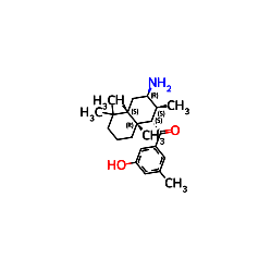 Cc1cc(O)cc(C(=O)[C@H]2[C@H](C)[C@H](N)C[C@H]3C(C)(C)CCC[C@@]23C)c1